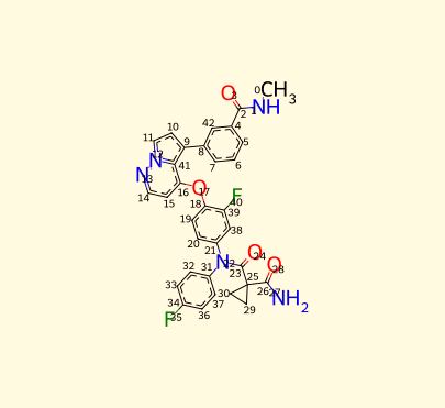 CNC(=O)c1cccc(-c2ccn3nccc(Oc4ccc(N(C(=O)C5(C(N)=O)CC5)c5ccc(F)cc5)cc4F)c23)c1